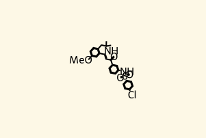 COc1ccc2c(c1)/C(=C/C(=O)c1cccc(NS(=O)(=O)c3ccc(Cl)cc3)c1)NC(C)(C)C2